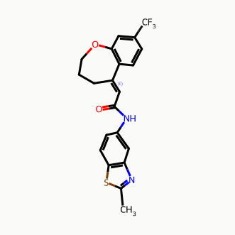 Cc1nc2cc(NC(=O)/C=C3\CCCOc4cc(C(F)(F)F)ccc43)ccc2s1